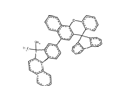 CC1(C)c2cc(-c3cc4c(c5ccccc35)Oc3ccccc3C43c4ccccc4-c4ccccc43)ccc2-c2c1ccc1ccccc21